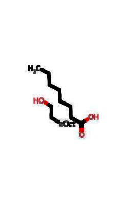 CCCCCCCC(=O)O.CCCCCCCCCCO